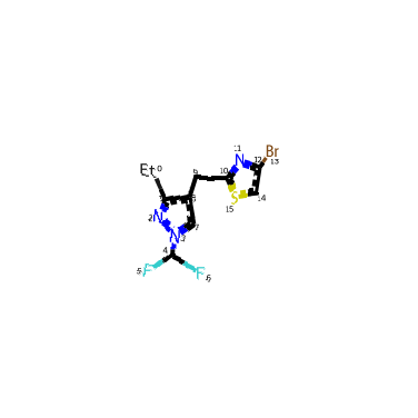 CCc1nn(C(F)F)cc1Cc1nc(Br)cs1